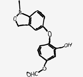 CB1OCc2cc(Oc3ccc(OC=O)cc3O)ccc21